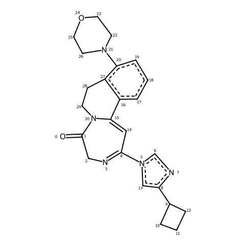 O=C1CN=C(n2cnc(C3CCC3)c2)C=C2c3cccc(N4CCOCC4)c3CCN12